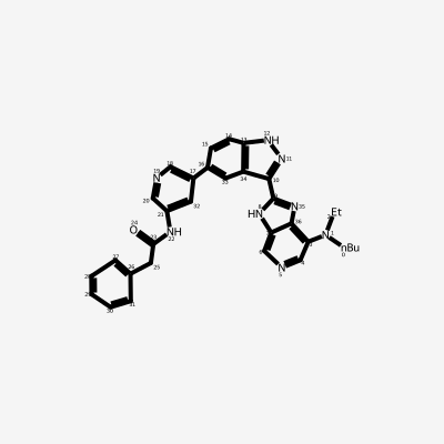 CCCCN(CC)c1cncc2[nH]c(-c3n[nH]c4ccc(-c5cncc(NC(=O)Cc6ccccc6)c5)cc34)nc12